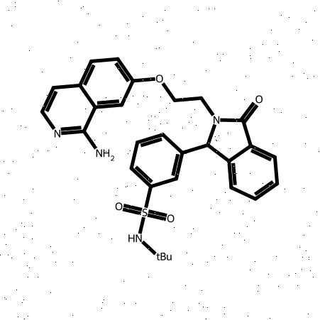 CC(C)(C)NS(=O)(=O)c1cccc(C2c3ccccc3C(=O)N2CCOc2ccc3ccnc(N)c3c2)c1